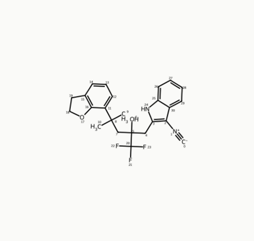 [C-]#[N+]c1c(CC(O)(CC(C)(C)c2cccc3c2OCC3)C(F)(F)F)[nH]c2ccccc12